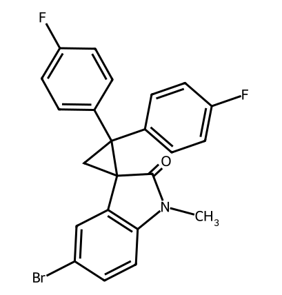 CN1C(=O)C2(CC2(c2ccc(F)cc2)c2ccc(F)cc2)c2cc(Br)ccc21